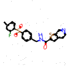 Cc1ccc(S(=O)(=O)c2ccc(CNC(=O)c3cc4ccncc4s3)cc2)c(F)c1